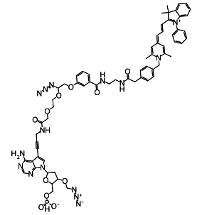 CC1=CC(=C/C=C/C2=[N+](c3ccccc3)c3ccccc3C2(C)C)C=C(C)N1Cc1ccc(CC(=O)NCCNC(=O)c2cccc(OCC(N=[N+]=[N-])OCCOCC(=O)NCC#Cc3cn(C4CC(OCN=[N+]=[N-])C(CO[PH](=O)[O-])O4)c4ncnc(N)c34)c2)cc1